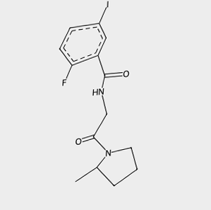 CC1CCCN1C(=O)CNC(=O)c1cc(I)ccc1F